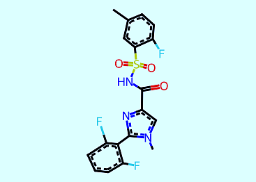 Cc1ccc(F)c(S(=O)(=O)NC(=O)c2cn(C)c(-c3c(F)cccc3F)n2)c1